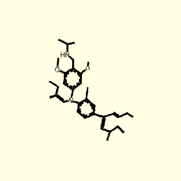 CC/C=C/C(=C\C(C)CC)c1ccc(N(/C=C(/C)CC)c2cc(OC)c(CNC(C)C)c(OC)c2)c(C)c1